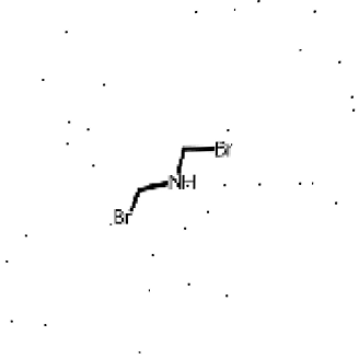 BrCNCBr